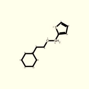 c1csc([SiH2]OCCC2CCCCC2)c1